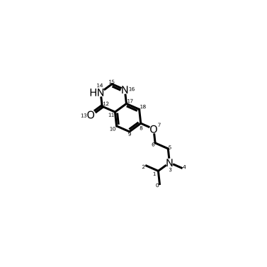 CC(C)N(C)CCOc1ccc2c(=O)[nH]cnc2c1